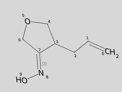 C=CCC1COC/C1=N\O